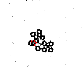 c1ccc(-c2ccccc2N(c2ccc3c(c2)C(c2ccccc2)(c2ccccc2)c2ccccc2-3)c2cc3c(c4c2sc2ccccc24)-c2ccccc2C32c3ccccc3-c3ccccc32)cc1